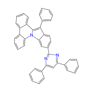 c1ccc(-c2cc(-c3ccccc3)nc(-c3ccc4c(-c5ccccc5)c5c6ccccc6c6ccccc6n5c4c3)n2)cc1